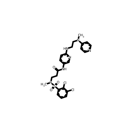 CN(CCNc1ccc(NC(=O)CCN(C)S(=O)(=O)c2cccc(Cl)c2Cl)cn1)c1ccncc1